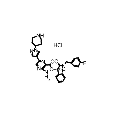 Cl.Nc1ncc(-c2cnn(C3CCNCC3)c2)nc1C(=O)O[C@@H](C(=O)NCc1ccc(F)cc1)c1ccccc1